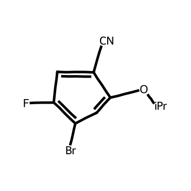 CC(C)Oc1cc(Br)c(F)cc1C#N